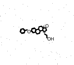 C[C@]12CCC3c4ccc(OCc5ccccc5)cc4CCC3C1[C@H](CCCO)CC2=O